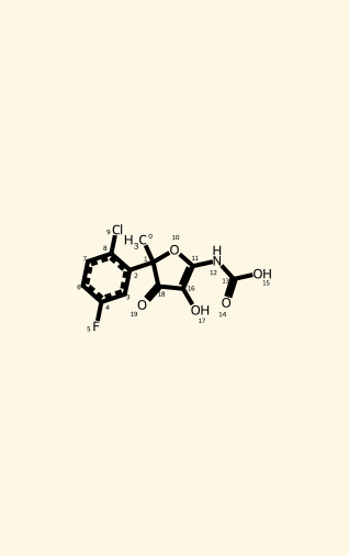 CC1(c2cc(F)ccc2Cl)OC(NC(=O)O)=C(O)C1=O